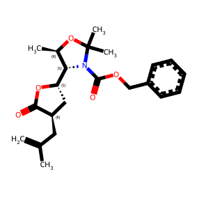 C=C(C)C[C@@H]1C[C@@H]([C@@H]2[C@@H](C)OC(C)(C)N2C(=O)OCc2ccccc2)OC1=O